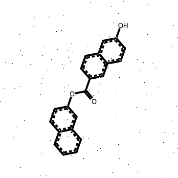 O=C(Oc1ccc2ccccc2c1)c1ccc2cc(O)ccc2c1